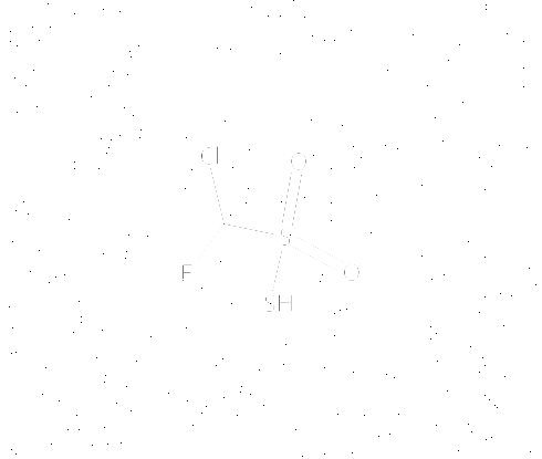 O=S(=O)(S)C(F)Cl